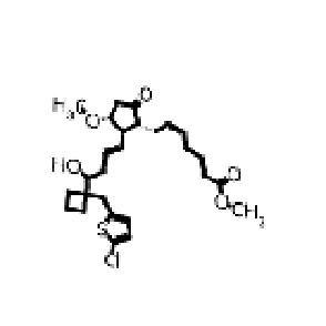 COC(=O)CCC/C=C\C[C@H]1C(=O)C[C@@H](OC)[C@@H]1/C=C/CC(O)C1(Cc2ccc(Cl)s2)CCC1